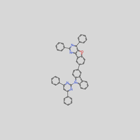 c1ccc(-c2cc(-c3ccccc3)nc(-n3c4ccccc4c4cc(-c5ccc6oc7c(-c8ccccc8)nc(-c8ccccc8)nc7c6c5)ccc43)n2)cc1